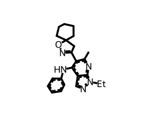 CCn1ncc2c(Nc3ccccc3)c(C3=NOC4(CCCCC4)C3)c(C)nc21